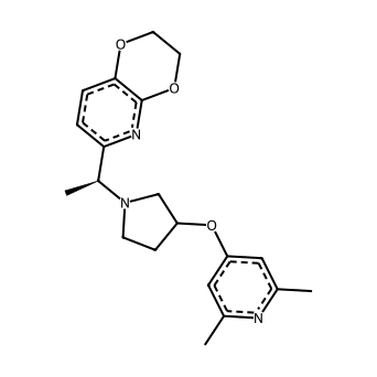 Cc1cc(OC2CCN([C@@H](C)c3ccc4c(n3)OCCO4)C2)cc(C)n1